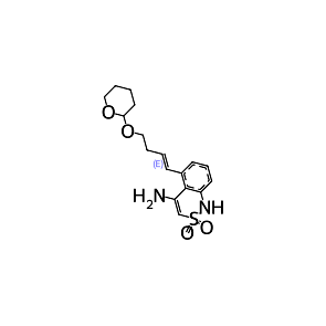 NC1=CS(=O)(=O)Nc2cccc(/C=C/CCOC3CCCCO3)c21